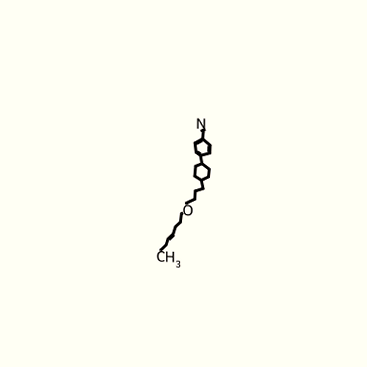 CCC/C=C/CCCOCCCCC1CCC(c2ccc(C#N)cc2)CC1